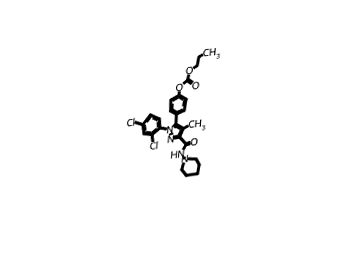 CCCOC(=O)Oc1ccc(-c2c(C)c(C(=O)NN3CCCCC3)nn2-c2ccc(Cl)cc2Cl)cc1